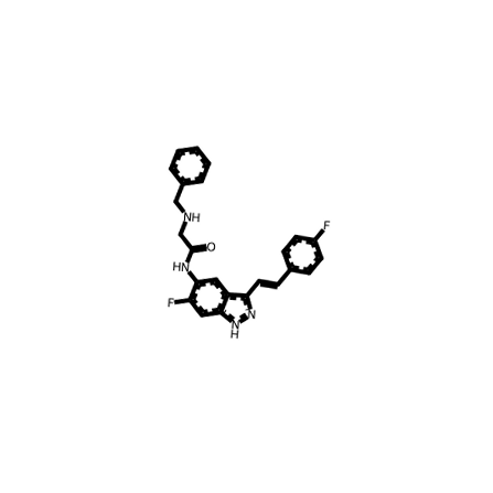 O=C(CNCc1ccccc1)Nc1cc2c(C=Cc3ccc(F)cc3)n[nH]c2cc1F